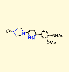 COc1cc(-c2ccc(N3CCN(C4CC4)CC3)nn2)ccc1NC(C)=O